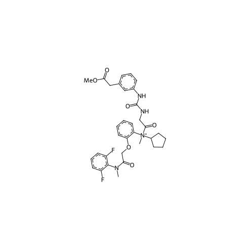 COC(=O)Cc1cccc(NC(=O)NCC(=O)[N+](C)(c2ccccc2OCC(=O)N(C)c2c(F)cccc2F)C2CCCC2)c1